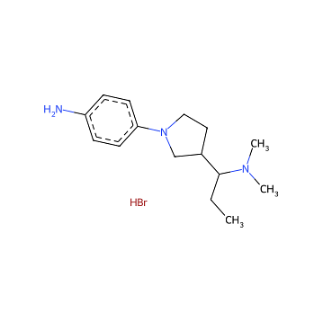 Br.CCC(C1CCN(c2ccc(N)cc2)C1)N(C)C